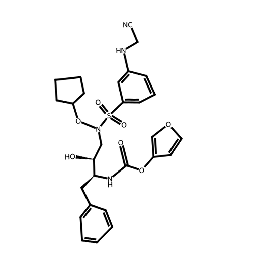 N#CCNc1cccc(S(=O)(=O)N(C[C@H](O)[C@H](Cc2ccccc2)NC(=O)Oc2ccoc2)OC2CCCC2)c1